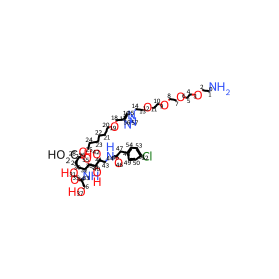 NCCOCCOCCOCCOCCn1cc(COCCCCCCO[C@]2(C(=O)O)C[C@H](O)[C@@H](NC(=O)CO)[C@H]([C@H](O)[C@H](O)CNC(=O)Cc3ccc(Cl)cc3)O2)nn1